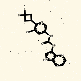 O=C(Nc1cnc(C2CC(F)(F)C2)c(Cl)c1)Nc1c[nH]c2cccnc12